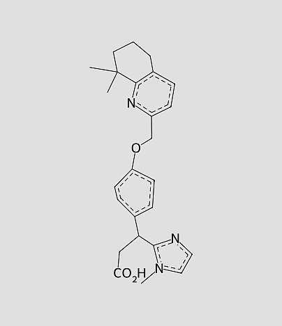 Cn1ccnc1C(CC(=O)O)c1ccc(OCc2ccc3c(n2)C(C)(C)CCC3)cc1